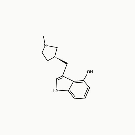 CN1CC[C@H](Cc2c[nH]c3cccc(O)c23)C1